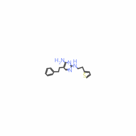 Nc1nc(NCCc2cccs2)ncc1CCc1ccccc1